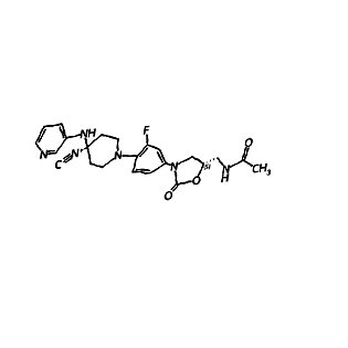 [C-]#[N+]C1(Nc2cccnc2)CCN(c2ccc(N3C[C@H](CNC(C)=O)OC3=O)cc2F)CC1